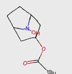 CC(C)(C)C(=O)OC1CC2CCC(C1)N2O